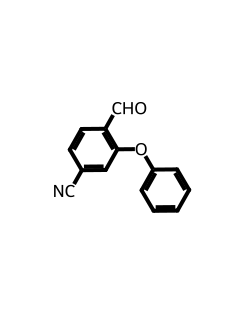 N#Cc1ccc(C=O)c(Oc2ccccc2)c1